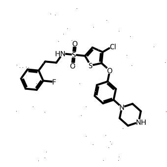 O=S(=O)(NCCc1ccccc1F)c1cc(Cl)c(Oc2cccc(N3CCNCC3)c2)s1